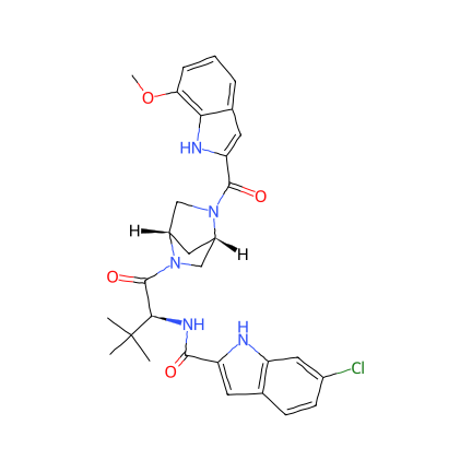 COc1cccc2cc(C(=O)N3C[C@@H]4C[C@H]3CN4C(=O)[C@@H](NC(=O)c3cc4ccc(Cl)cc4[nH]3)C(C)(C)C)[nH]c12